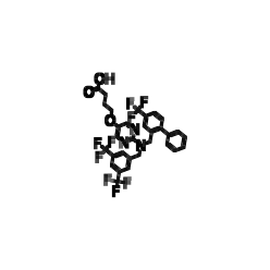 O=C(O)CCCOc1cnc(N(Cc2cc(C(F)(F)F)cc(C(F)(F)F)c2)Cc2cc(C(F)(F)F)ccc2-c2ccccc2)nc1